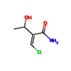 CC(O)C(=CCl)C(N)=O